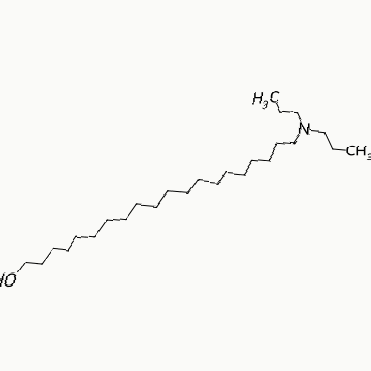 CCCN(CCC)CCCCCCCCCCCCCCCCCCCCO